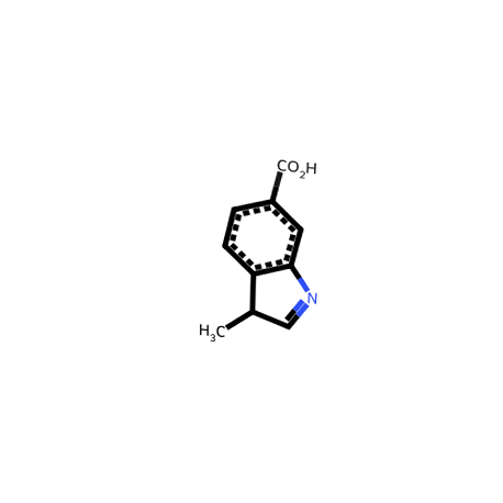 CC1C=Nc2cc(C(=O)O)ccc21